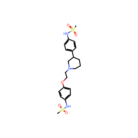 CS(=O)(=O)Nc1ccc(OCCN2CCCC(c3ccc(NS(C)(=O)=O)cc3)C2)cc1